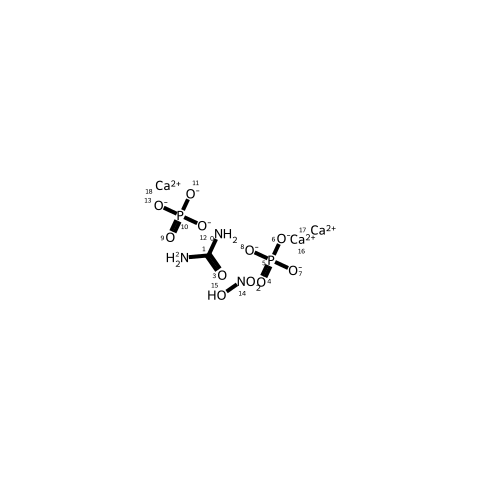 NC(N)=O.O=P([O-])([O-])[O-].O=P([O-])([O-])[O-].O=[N+]([O-])O.[Ca+2].[Ca+2].[Ca+2]